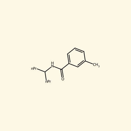 CCCC(CCC)NC(=O)c1cccc(C)c1